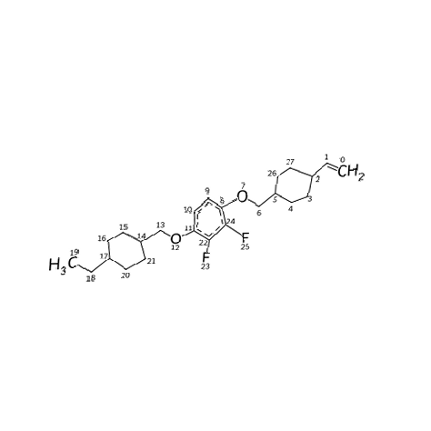 C=CC1CCC(COc2ccc(OCC3CCC(CC)CC3)c(F)c2F)CC1